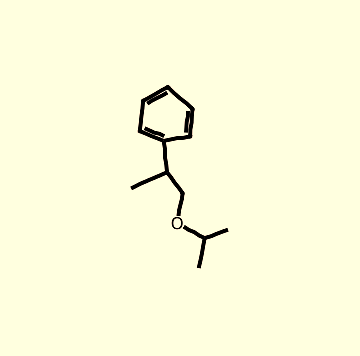 CC(C)OCC(C)c1ccccc1